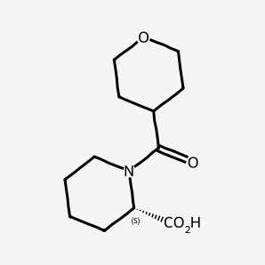 O=C(O)[C@@H]1CCCCN1C(=O)C1CCOCC1